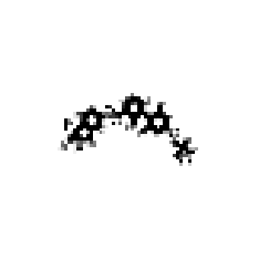 Cc1cc(OCC2(C)COC2)cc(C)c1-c1cccc(COc2ccc3c(c2)C[C@H]2[C@H](C)[C@@H]32)c1C